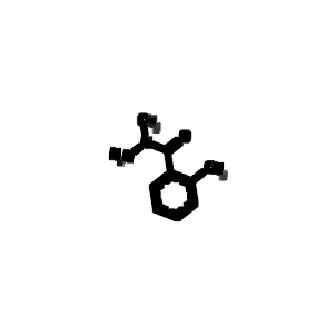 Cc1ccccc1C(=O)N(C)N